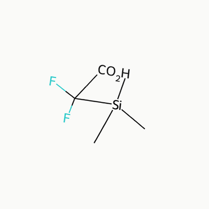 C[Si](C)(C)C(F)(F)C(=O)O